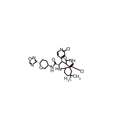 CC1(C)CCC2(CC1)N[C@@H](C(=O)N[C@@H]1CC[C@@H](c3ncon3)OC1)[C@@H](c1ccnc(Cl)c1)[C@]21C(=O)Nc2cc(Cl)ccc21